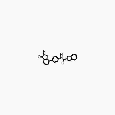 O=C1NCc2c1cccc2-c1ccc(NC(=O)N2Cc3ccccc3C2)cc1